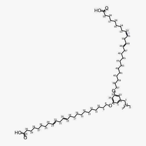 CN(C)Cc1cc(OCCCCCCCCCCCC=CCC=CCCCCCCCC(=O)O)cc(OCCCCCCCCCCCC=CC/C=C\CCCCCCCC(=O)O)c1